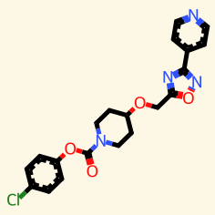 O=C(Oc1ccc(Cl)cc1)N1CCC(OCc2nc(-c3ccncc3)no2)CC1